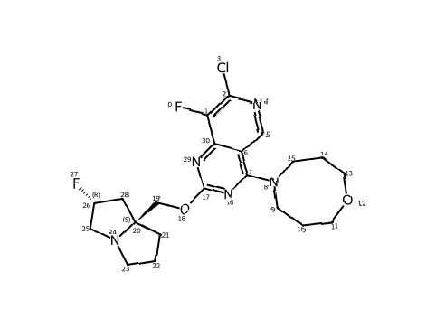 Fc1c(Cl)ncc2c(N3CCCOCCC3)nc(OC[C@@]34CCCN3C[C@H](F)C4)nc12